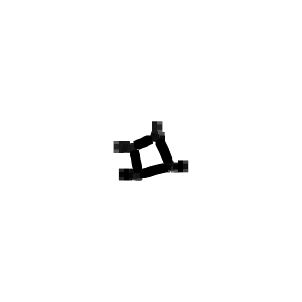 [AsH]1[AsH][AsH][AsH]1